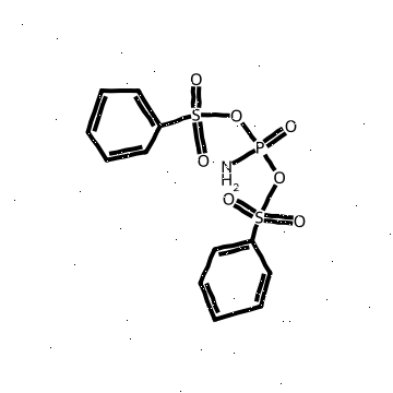 NP(=O)(OS(=O)(=O)c1ccccc1)OS(=O)(=O)c1ccccc1